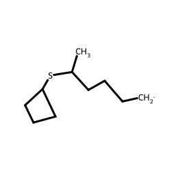 [CH2]CCCC(C)SC1CCC1